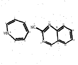 C1=CC=CNC=C1.N#Cc1ncc2ccccc2n1